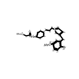 COCC(=O)N[C@H]1CC[C@H](CCCN2CCC(Cc3cc(OC)ccc3Br)C2)CC1